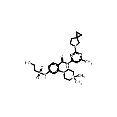 Cc1cc(NC(=O)c2ccc(NS(=O)(=O)CCO)cc2N2CC[Si](C)(C)CC2)nc(N2CCC3(CC3)C2)n1